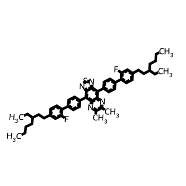 CCCCC(CC)CCc1ccc(-c2ccc(-c3c4nsnc4c(-c4ccc(-c5ccc(CCC(CC)CCCC)cc5F)cc4)c4nc(C)c(C)nc34)cc2)c(F)c1